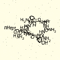 CCCCCCC[C@@H](O)CC(=O)N[C@H](CCN)C(=O)N[C@H]1CCNC(=O)[C@H](Cc2ccc(O)cc2)NC(=O)[C@H](CCN)NC(=O)[C@H](CCN)NC(=O)[C@H](CC(C)C)NC(=O)[C@@H](Cc2ccccc2)NC(=O)[C@H](CCN)NC1=O